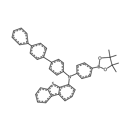 CC1(C)OB(c2ccc(N(c3ccc(-c4ccc(-c5ccccc5)cc4)cc3)c3cccc4c3sc3ccccc34)cc2)OC1(C)C